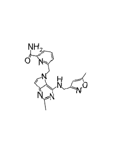 Cc1nc(NCc2cc(C)on2)c2c(ccn2Cc2cccc(C(N)=O)n2)n1